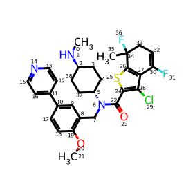 CN[C@H]1CC[C@H](N(Cc2cc(-c3ccncc3)ccc2OC)C(=O)c2sc3c(c2Cl)C(F)=CCC3(C)F)CC1